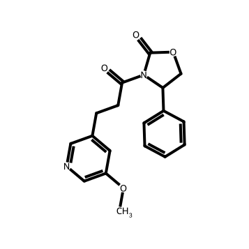 COc1cncc(CCC(=O)N2C(=O)OCC2c2ccccc2)c1